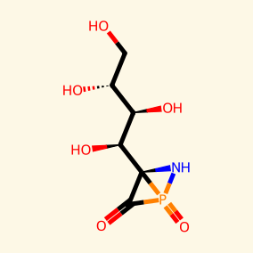 O=C1[C@@]2([C@@H](O)[C@H](O)[C@H](O)CO)NP12=O